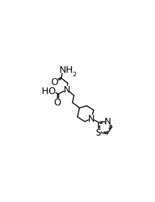 NC(=O)CN(CCC1CCN(c2nccs2)CC1)C(=O)O